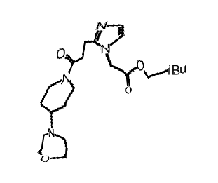 CCC(C)COC(=O)Cn1ccnc1CCC(=O)N1CCC(N2CCOCC2)CC1